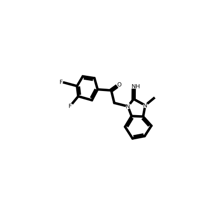 Cn1c(=N)n(CC(=O)c2ccc(F)c(F)c2)c2ccccc21